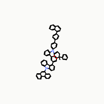 CC1(c2ccccc2)C=CC(N(c2ccc(-c3ccc(-c4cccc5ccccc45)cc3)cc2)c2ccccc2-c2cccc(-c3cccc4c3c3ccccc3n4-c3cc4ccccc4c4ccccc34)c2)=CC1